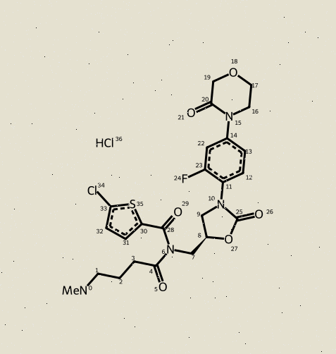 CNCCCC(=O)N(C[C@H]1CN(c2ccc(N3CCOCC3=O)cc2F)C(=O)O1)C(=O)c1ccc(Cl)s1.Cl